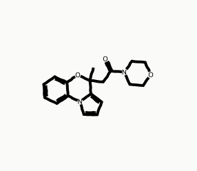 CC1(CC(=O)N2CCOCC2)Oc2ccccc2-n2cccc21